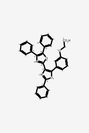 O=C(O)COc1cccc(-c2oc(-c3ccccc3)nc2-c2nc(-c3ccccc3)c(-c3ccccc3)o2)c1